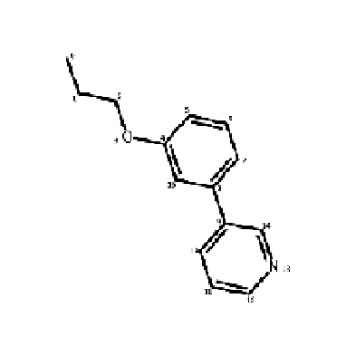 [CH2]CCOc1cccc(-c2cccnc2)c1